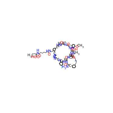 CC[C@@H](NC(=O)CCCCCC(=O)NCc1ccc2cc1Cn1cc(nn1)Cn1cc(c3cc(F)ccc31)C[C@@H]1NC(=O)[C@@H](N)Cc3cccc(c3)C/C=C/CO[C@H]3CCN(C1=O)[C@@H]3C(=O)N[C@@H]([C@@H](C)O)C(=O)N[C@@H](Cc1ccc(OC)cc1)C(=O)N1CCC[C@@]1(C)C(=O)NCC2)C(=O)O